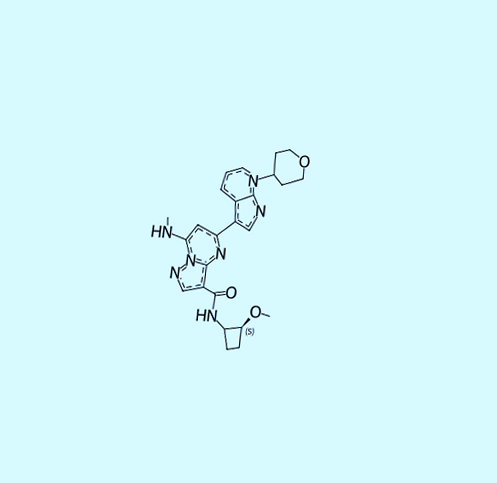 CNc1cc(-c2cnc3n(C4CCOCC4)cccc2-3)nc2c(C(=O)NC3CC[C@@H]3OC)cnn12